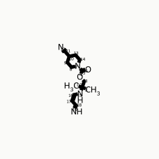 CC(C)(COC(=O)N1CCC(C#N)CC1)N/C=C\C=N